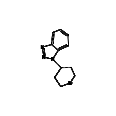 c1ccc2c(c1)nnn2C1CC[N]CC1